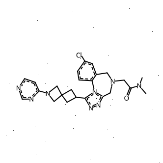 CN(C)C(=O)CN1Cc2cc(Cl)ccc2-n2c(nnc2C2CC3(C2)CN(c2ccncn2)C3)C1